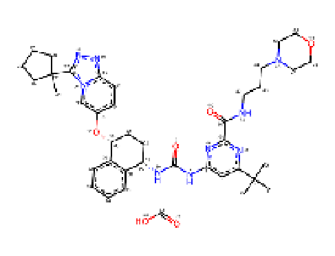 CC(C)(C)c1cc(NC(=O)N[C@H]2CC[C@@H](Oc3ccc4nnc(C5(C)CCCC5)n4c3)c3ccccc32)nc(C(=O)NCCCN2CCOCC2)n1.O=CO